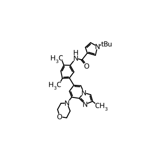 Cc1cn2cc(-c3cc(NC(=O)c4ccn(C(C)(C)C)c4)c(C)cc3C)cc(N3CCOCC3)c2n1